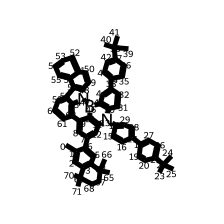 Cc1cc2c(cc1-c1cc3c4c(c1)N(c1ccc(-c5ccc(C(C)(C)C)cc5)cc1)c1ccc(-c5ccc(C(C)(C)C)cc5)cc1B4n1c4ccc5ccccc5c4c4cccc-3c41)C(C)(C)CCC2(C)C